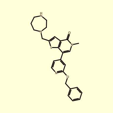 Cn1cc(-c2ccnc(OCc3ccccc3)c2)c2sc(CN3CCCNCC3)cc2c1=O